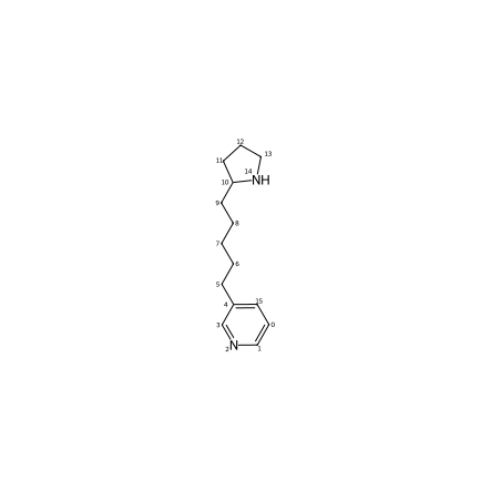 c1cncc(CCCCCC2CCCN2)c1